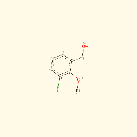 CCOc1c(F)cccc1[CH]O